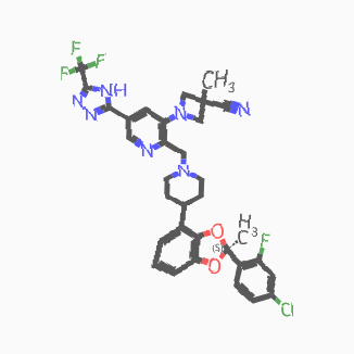 CC1(C#N)CN(c2cc(-c3nnc(C(F)(F)F)[nH]3)cnc2CN2CCC(c3cccc4c3O[C@@](C)(c3ccc(Cl)cc3F)O4)CC2)C1